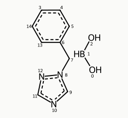 OBO.c1ccc(Cn2cncn2)cc1